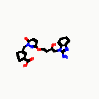 Nc1nc2ccccc2n1CC(O)CCOc1ccc(=O)n(Cc2cccc(C(=O)O)c2)n1